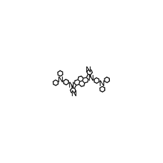 c1ccc(N(c2ccccc2)c2ccc(-n3c4ccncc4c4c5ccc6cc7c(c8ccc(cc43)c5c68)c3cnccc3n7-c3ccc(N(c4ccccc4)c4ccccc4)cc3)cc2)cc1